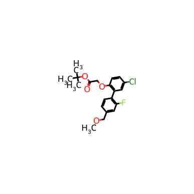 COCc1ccc(-c2cc(Cl)ccc2OCC(=O)OC(C)(C)C)c(F)c1